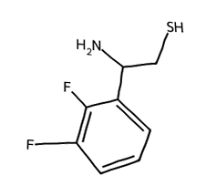 NC(CS)c1cccc(F)c1F